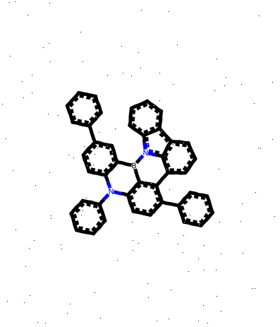 c1ccc(-c2ccc3c(c2)B2c4c(ccc(-c5ccccc5)c4-c4cccc5c6ccccc6n2c45)N3c2ccccc2)cc1